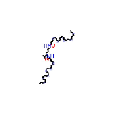 CC/C=C\C/C=C\C/C=C\C/C=C\C/C=C\C/C=C\CCC(=O)NCCCC[C@H](NC(=O)CC/C=C\C/C=C\C/C=C\C/C=C\C/C=C\C/C=C\CC)C(C)C